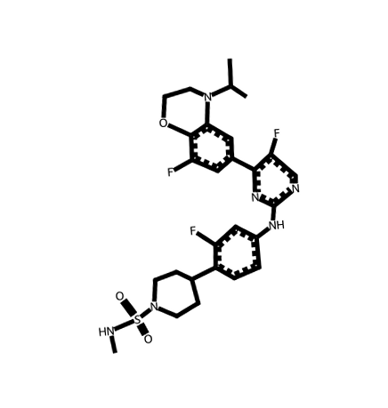 CNS(=O)(=O)N1CCC(c2ccc(Nc3ncc(F)c(-c4cc(F)c5c(c4)N(C(C)C)CCO5)n3)cc2F)CC1